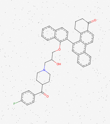 O=C1CCCc2c1ccc1c2c(-c2ccc3ccccc3c2OCC(O)CN2CCC(C(=O)c3ccc(F)cc3)CC2)cc2ccccc21